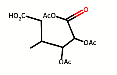 CC(=O)OC(=O)C(OC(C)=O)C(OC(C)=O)C(C)CC(=O)O